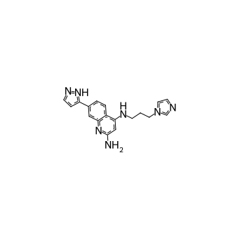 Nc1cc(NCCCn2ccnc2)c2ccc(-c3ccn[nH]3)cc2n1